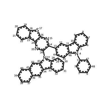 c1ccc(-n2c3ccccc3c3cc(-c4nc5sc6ccccc6c5nc4-n4c5ccccc5c5cc6ccccc6cc54)ccc32)cc1